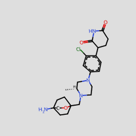 C[C@@H]1CN(c2ccc(C3CCC(=O)NC3=O)c(Cl)c2)CCN1CC12CCC(N)(CC1)CO2